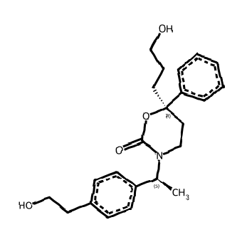 C[C@@H](c1ccc(CCO)cc1)N1CC[C@](CCCO)(c2ccccc2)OC1=O